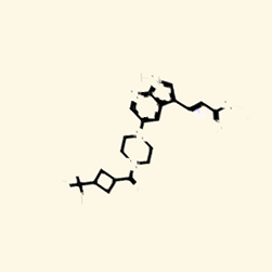 NC(=O)/C=C/c1c[nH]c2ncc(N3CCN(C(=O)C4CC(C(F)(F)F)C4)CC3)cc12